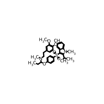 CCC(Oc1ccc(S(=O)(=O)c2c(C(C)C)n(C)c3ccccc23)cc1)N(C)CCc1ccc(OC)c(OC)c1